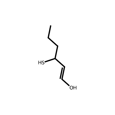 CCCC(S)/C=C/O